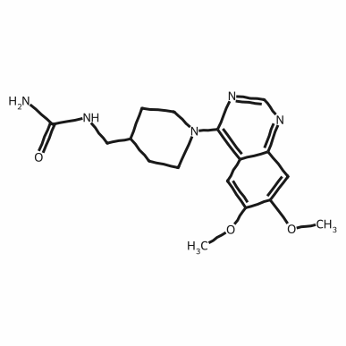 COc1cc2ncnc(N3CCC(CNC(N)=O)CC3)c2cc1OC